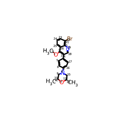 COc1c(-c2ccc(N3C[C@@H](C)O[C@@H](C)C3)cc2)cnc2c(Br)cccc12